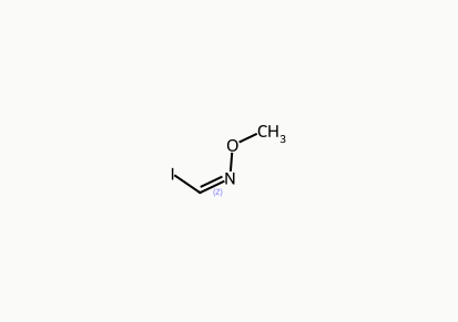 CO/N=C\I